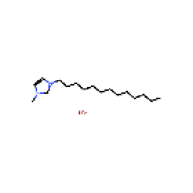 Br.CCCCCCCCCCCCCN1C=CN(C)C1